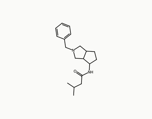 CC(C)CC(=O)NC1CCC2CN(Cc3ccccc3)CC21